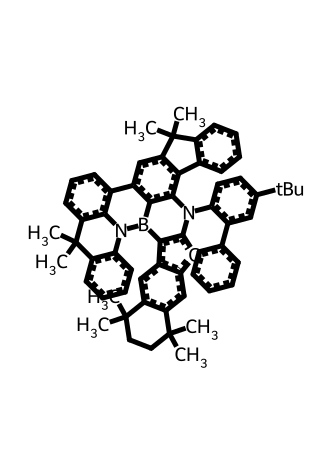 CC(C)(C)c1ccc(N2c3oc4cc5c(cc4c3B3c4c(cc6c(c42)-c2ccccc2C6(C)C)-c2cccc4c2N3c2ccccc2C4(C)C)C(C)(C)CCC5(C)C)c(-c2ccccc2)c1